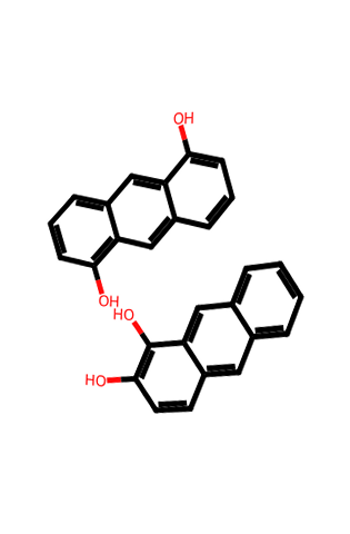 Oc1ccc2cc3ccccc3cc2c1O.Oc1cccc2cc3c(O)cccc3cc12